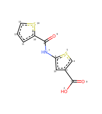 O=C(O)c1csc(NC(=O)c2cccs2)c1